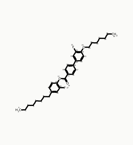 CCCCCCCCc1ccc(OC(=O)c2ccc(-c3ccc(OCCCCCCC)c(F)c3)cc2)c(F)c1